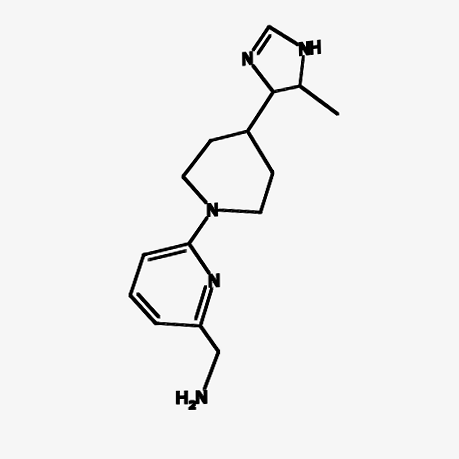 CC1NC=NC1C1CCN(c2cccc(CN)n2)CC1